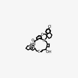 O=C1NS(=O)(=O)C(CC2CCCO2)CC/C=C/C(O)C2CCC2CN2CC3(CCCc4cc(Cl)ccc43)COc3ccc1cc32